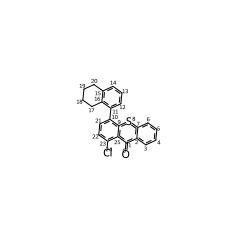 O=c1c2ccccc2sc2c(-c3cccc4c3CCCC4)ccc(Cl)c12